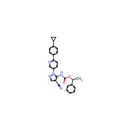 CC(OC(=O)Nc1c(C#N)cnn1-c1ccc(-c2ccc(C3CC3)cc2)nc1)c1ccccc1